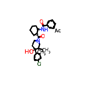 CC(=O)c1cccc(C(=O)N[C@@H]2CCCC[C@@H]2C(=O)N2CC[C@](O)(c3ccc(Cl)cc3)C(C)(C)C2)c1